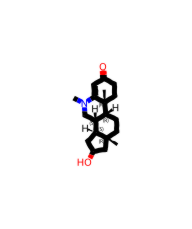 CN1C[C@@H]2[C@@H](CC[C@]3(C)CC(O)C[C@@H]23)[C@@]2(C)CCC(=O)C=C12